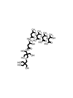 CC(S)CC(=O)O.CC(S)CC(=O)O.CC(S)CC(=O)O.CC(S)CC(=O)O.CC(S)CC(=O)O.OCC(CO)(CO)COCC(CO)(CO)CO